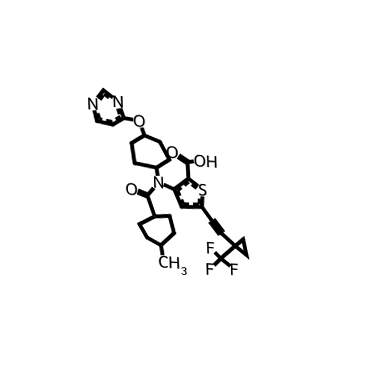 CC1CCC(C(=O)N(c2cc(C#CC3(C(F)(F)F)CC3)sc2C(=O)O)C2CCC(Oc3ccncn3)CC2)CC1